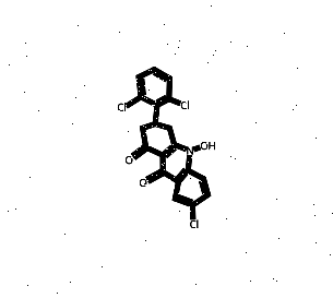 O=C1CC(c2c(Cl)cccc2Cl)Cc2c1c(=O)c1cc(Cl)ccc1n2O